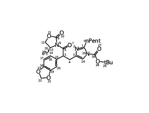 CCCCCc1nc(CC(C(=O)N2C(=O)OC[C@@H]2C(C)C)c2ccc3c(c2)OCO3)cn1C(=O)OC(C)(C)C